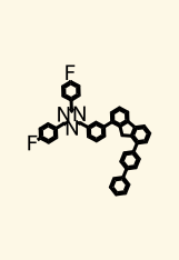 Fc1ccc(-c2nc(-c3ccc(F)cc3)nc(-c3cccc(-c4cccc5c4Cc4c(-c6ccc(-c7ccccc7)cc6)cccc4-5)c3)n2)cc1